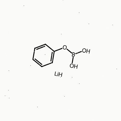 OB(O)Oc1ccccc1.[LiH]